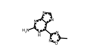 Cc1nc(-c2[nH]c(N)nc3ncnc2-3)no1